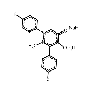 Cn1c(-c2ccc(F)cc2)cc(=O)c(C(=O)O)c1-c1ccc(F)cc1.[NaH]